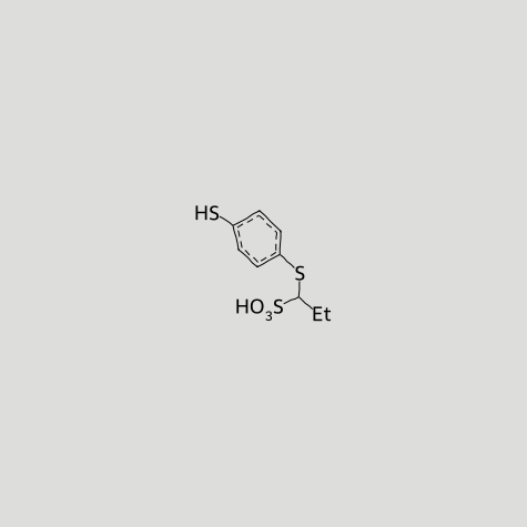 CCC(Sc1ccc(S)cc1)S(=O)(=O)O